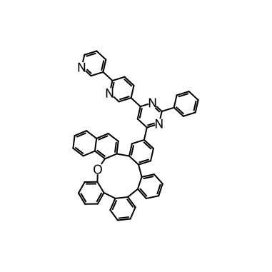 c1ccc(-c2nc(-c3ccc(-c4cccnc4)nc3)cc(-c3ccc4c(c3)-c3ccc5ccccc5c3Oc3ccccc3-c3ccccc3-c3ccccc3-4)n2)cc1